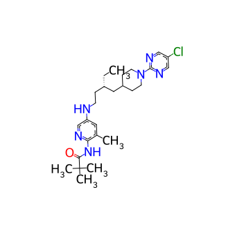 CC[C@@H](CCNc1cnc(NC(=O)C(C)(C)C)c(C)c1)CC1CCN(c2ncc(Cl)cn2)CC1